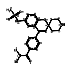 CCN(CC)C(=O)c1ccc(C2=CC3(CCNCC3)Oc3ccc(NS(C)(=O)=O)cc32)cc1